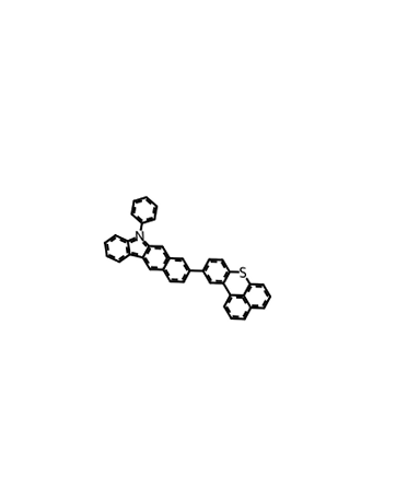 c1ccc(-n2c3ccccc3c3cc4ccc(-c5ccc6c(c5)-c5cccc7cccc(c57)S6)cc4cc32)cc1